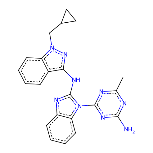 Cc1nc(N)nc(-n2c(Nc3nn(CC4CC4)c4ccccc34)nc3ccccc32)n1